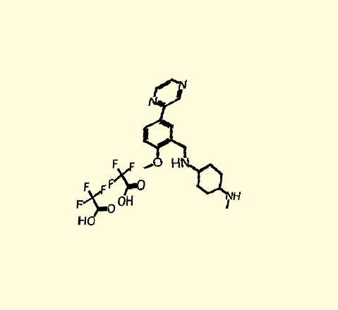 CNC1CCC(NCc2cc(-c3cnccn3)ccc2OC)CC1.O=C(O)C(F)(F)F.O=C(O)C(F)(F)F